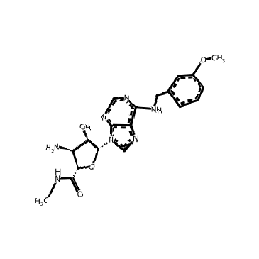 CNC(=O)[C@H]1O[C@@H](n2cnc3c(NCc4cccc(OC)c4)ncnc32)[C@H](O)[C@@H]1N